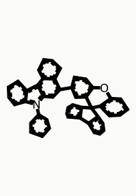 c1ccc(-n2c3ccccc3c3c4ccccc4c(-c4ccc5c(c4)C4(c6ccccc6O5)c5ccccc5-c5ccccc54)cc32)cc1